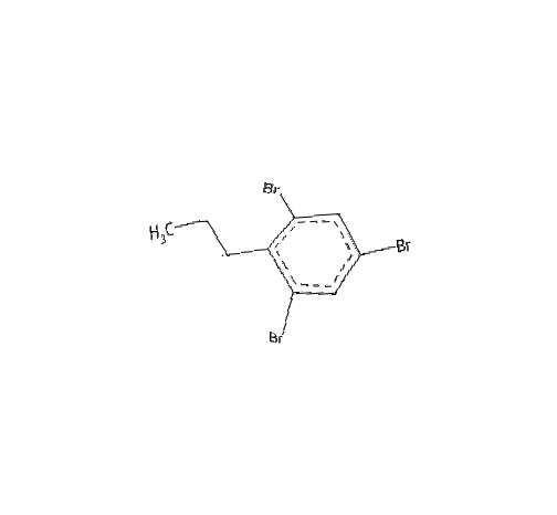 CC[CH]c1c(Br)cc(Br)cc1Br